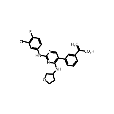 C=C(C(=O)O)c1cccc(-c2cnc(Nc3ccc(F)c(Cl)c3)nc2NC2CCOC2)c1